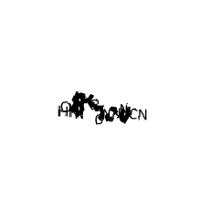 CC(COCCC(=O)N1CCN(c2ccc(C#N)cn2)CC1)c1cccc2c(=O)[nH]ncc12